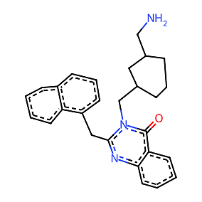 NCC1CCCC(Cn2c(Cc3cccc4ccccc34)nc3ccccc3c2=O)C1